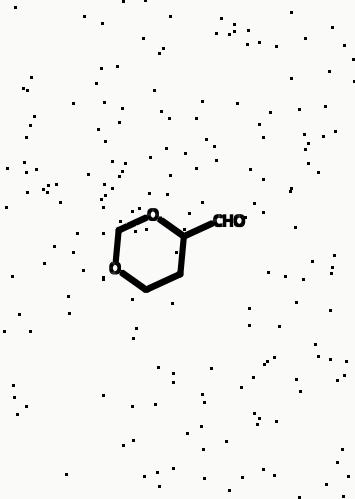 O=CC1CCOCO1